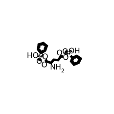 N[C@@H](CCC(=O)OP(=O)(O)c1ccccc1)C(=O)OP(=O)(O)c1ccccc1